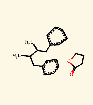 CC(Cc1ccccc1)C(C)Cc1ccccc1.O=C1CCCO1